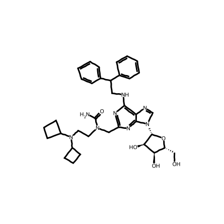 NC(=O)N(CCN(C1CCC1)C1CCC1)Cc1nc(NCC(c2ccccc2)c2ccccc2)c2ncn([C@@H]3O[C@H](CO)[C@@H](O)[C@H]3O)c2n1